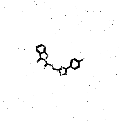 O=C(NCc1nc(-c2ccc(Cl)cc2)no1)n1sc2ncccc2c1=O